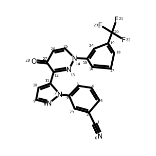 N#Cc1cccc(-n2nccc2-c2nn(-c3cccc(C(F)(F)F)c3)ccc2=O)c1